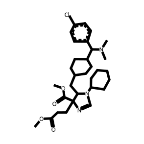 COC(=O)CCC1(C(=O)OC)N=CN(C2CCCCC2)C1CC1CCC(C(c2ccc(Cl)cc2)N(C)C)CC1